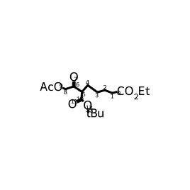 CCOC(=O)CCCCC(C(=O)COC(C)=O)C(=O)OC(C)(C)C